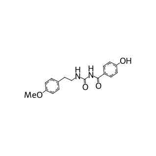 COc1ccc(CCNC(=O)NC(=O)c2ccc(O)cc2)cc1